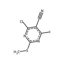 CSc1nc(Cl)c(C#N)c(I)n1